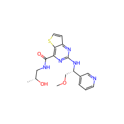 COC[C@H](Nc1nc(C(=O)NC[C@@H](C)O)c2sccc2n1)c1cccnc1